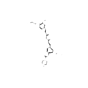 COc1cc(C=CC(=O)CC(=O)C=Cc2ccc(OC(=O)N3CCN(C)CC3)c(OC)c2)ccc1OCCO